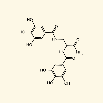 NC(=O)C(CNC(=O)c1cc(O)c(O)c(O)c1)NC(=O)c1cc(O)c(O)c(O)c1